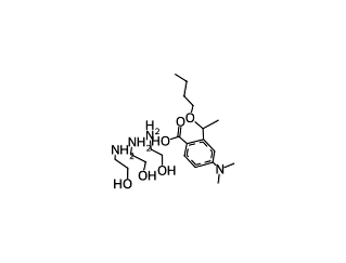 CCCCOC(C)c1cc(N(C)C)ccc1C(=O)O.NCCO.NCCO.NCCO